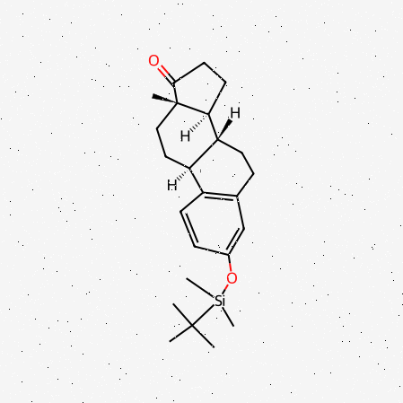 CC(C)(C)[Si](C)(C)Oc1ccc2c(c1)CC[C@@H]1[C@@H]2CC[C@]2(C)C(=O)CC[C@@H]12